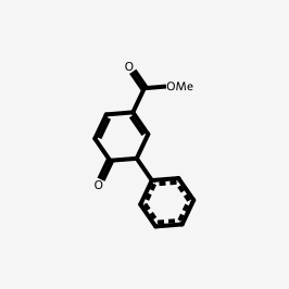 COC(=O)C1=CC(c2ccccc2)C(=O)C=C1